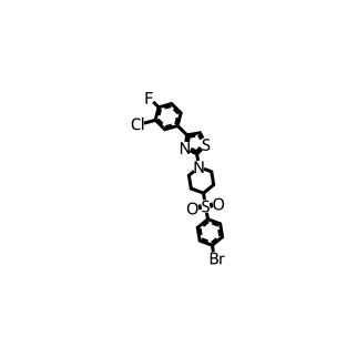 O=S(=O)(c1ccc(Br)cc1)C1CCN(c2nc(-c3ccc(F)c(Cl)c3)cs2)CC1